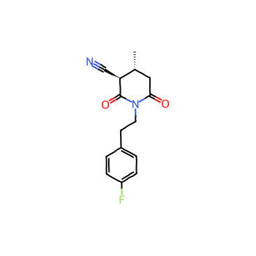 C[C@@H]1CC(=O)N(CCc2ccc(F)cc2)C(=O)[C@H]1C#N